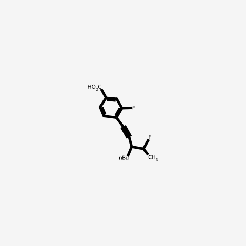 CCCCC(C#Cc1ccc(C(=O)O)cc1F)C(C)F